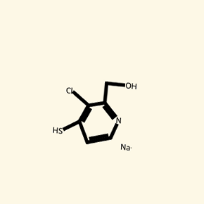 OCc1nccc(S)c1Cl.[Na]